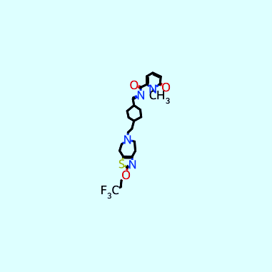 Cn1c(C(=O)/N=C/C2CCC(CCN3CCc4nc(OCCC(F)(F)F)sc4CC3)CC2)cccc1=O